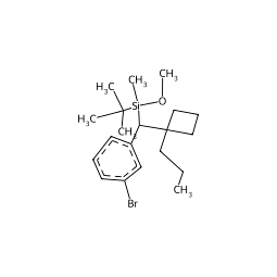 CCCC1(C(c2cccc(Br)c2)[Si](C)(OC)C(C)(C)C)CCC1